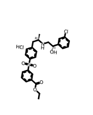 CCOC(=O)c1cccc(S(=O)(=O)c2ccc(C[C@@H](C)NC[C@@H](O)c3cccc(Cl)c3)cc2)c1.Cl